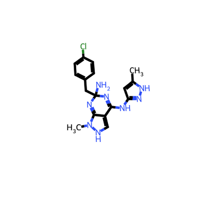 Cc1cc(NC2=NC(N)(Cc3ccc(Cl)cc3)N=C3C2=CNN3C)n[nH]1